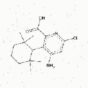 CC1(C)CCCC(C)(C)C1c1c(N)cc(Cl)nc1C(=O)O